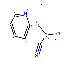 N#CB(Cl)Cl.c1ccncc1